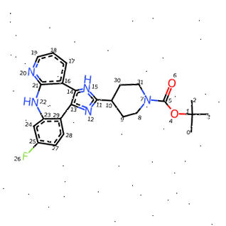 CC(C)(C)OC(=O)N1CCC(c2nc3c([nH]2)-c2cccnc2Nc2cc(F)ccc2-3)CC1